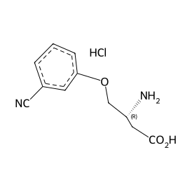 Cl.N#Cc1cccc(OC[C@H](N)CC(=O)O)c1